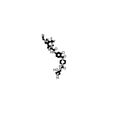 Cn1c(-c2cn(CC#N)nc2C(F)(F)F)cnc1C(=O)Nc1ccc(C(=O)N2CCN(C(=O)NCC3(O)CNC3)CC2)c(Cl)c1